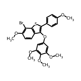 COc1ccc(-c2sc3c(Br)c(OC)ccc3c2Oc2cc(OC)c(OC)c(OC)c2)cc1